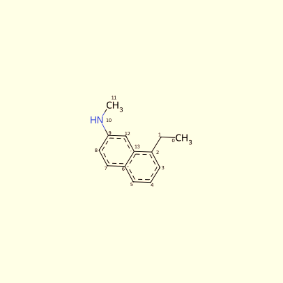 CCc1cccc2ccc(NC)cc12